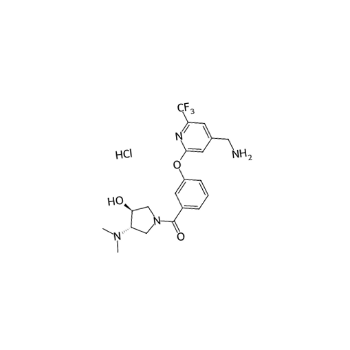 CN(C)[C@H]1CN(C(=O)c2cccc(Oc3cc(CN)cc(C(F)(F)F)n3)c2)C[C@@H]1O.Cl